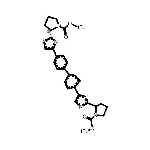 CC(C)(C)OC(=O)N1CCCC1c1ncc(-c2ccc(-c3ccc(-c4csc([C@@H]5CCCN5C(=O)OC(C)(C)C)n4)cc3)cc2)s1